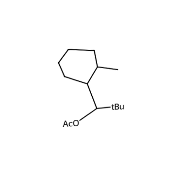 CC(=O)OC(C1CCCCC1C)C(C)(C)C